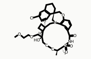 COCCOC[C@@]1(O)CCC[C@H](C)[C@@H](C)S(=O)(=O)NC(=O)c2ccc3c(c2)N(C[C@@H]2CC[C@H]21)C[C@@]1(CCCc2cc(Cl)ccc21)CO3